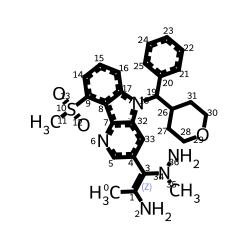 C/C(N)=C(\c1cnc2c3c(S(C)(=O)=O)cccc3n(C(c3ccccc3)C3CCOCC3)c2c1)N(C)N